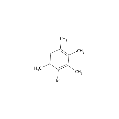 C[C]1CC(C)=C(C)C(C)=C1Br